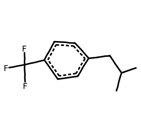 C[C](C)Cc1ccc(C(F)(F)F)cc1